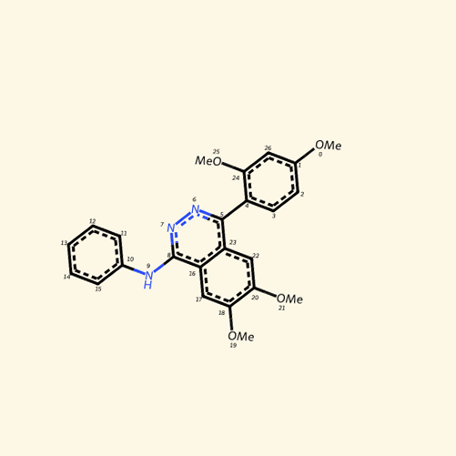 COc1ccc(-c2nnc(Nc3ccccc3)c3cc(OC)c(OC)cc23)c(OC)c1